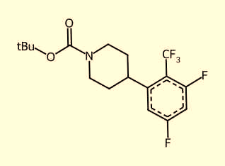 CC(C)(C)OC(=O)N1CCC(c2cc(F)cc(F)c2C(F)(F)F)CC1